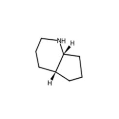 C1CN[C@@H]2CCC[C@@H]2C1